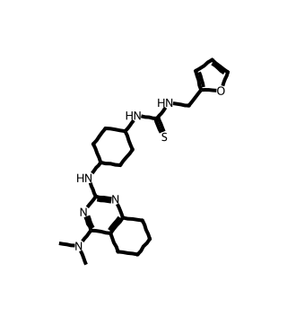 CN(C)c1nc(NC2CCC(NC(=S)NCc3ccco3)CC2)nc2c1CCCC2